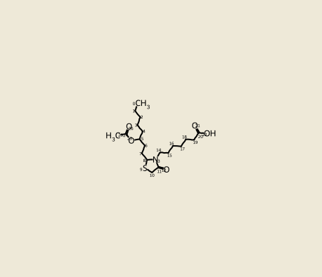 CCCCCC(CCC1SCC(=O)N1CCCCCCC(=O)O)OC(C)=O